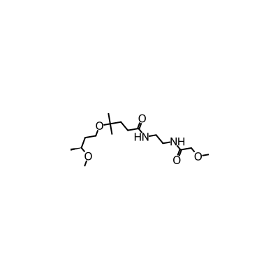 COCC(=O)NCCNC(=O)CCC(C)(C)OCC[C@H](C)OC